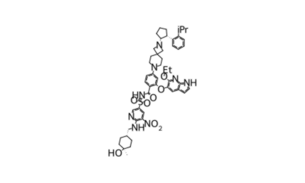 CCOc1nc2[nH]ccc2cc1Oc1cc(N2CCC3(CC2)CN([C@@H]2CCC[C@@H]2c2ccccc2C(C)C)C3)ccc1C(=O)NS(=O)(=O)c1cnc(NC[C@H]2CC[C@](C)(O)CC2)c([N+](=O)[O-])c1